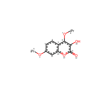 CC(C)Oc1ccc2c(OC(C)C)c(O)c(=O)oc2c1